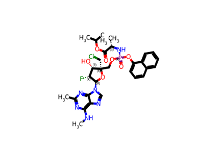 CNc1nc(C)nc2c1ncn2[C@@H]1O[C@](CCl)(CO[P@](=O)(N[C@@H](C)C(=O)OC(C)C)Oc2cccc3ccccc23)[C@@H](O)[C@H]1F